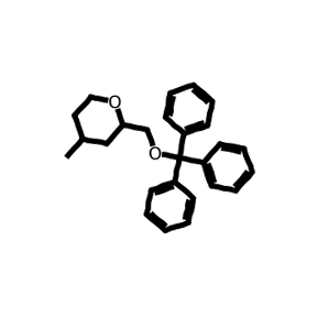 CC1CCOC(COC(c2ccccc2)(c2ccccc2)c2ccccc2)C1